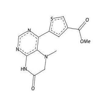 COC(=O)c1csc(-c2ncnc3c2N(C)CC(=O)N3)c1